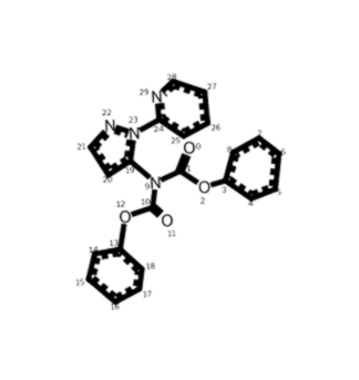 O=C(Oc1ccccc1)N(C(=O)Oc1ccccc1)c1ccnn1-c1ccccn1